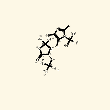 [2H]c1nc(C)n(C([2H])([2H])[2H])c1C[C@@H]1[C@H](CC([2H])([2H])[2H])C(=O)OC1([2H])[2H]